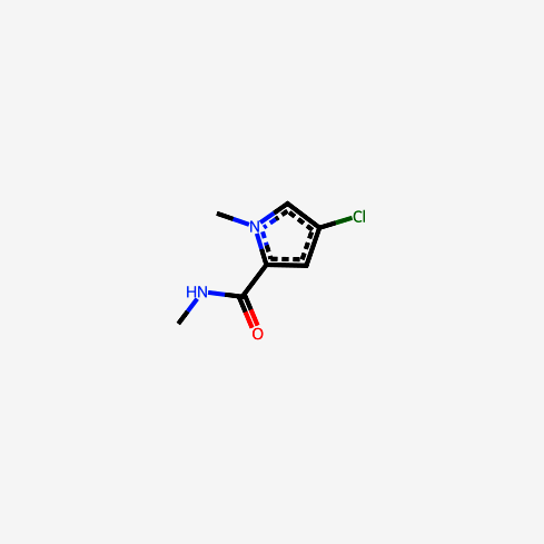 CNC(=O)c1cc(Cl)cn1C